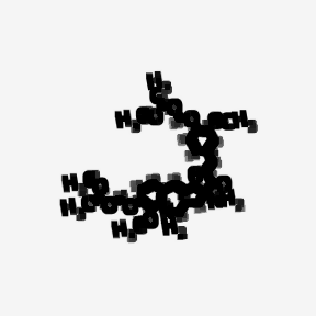 COc1cc(/C=C/C(=O)C(N)(CCCN)C(=O)/C=C/c2ccc(OCOC(C)OC)c(OC)c2)ccc1OCOC(C)OC